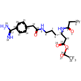 CC(C)CC(=O)N[C@@H](CCCNC(=O)Cc1ccc(C(=N)N)cc1)CC(=O)OC(=O)C(F)(F)F